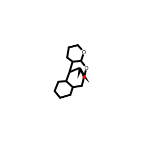 C1CCC2C(C1)CC13CCCCC1C2C1CCCOC1O3